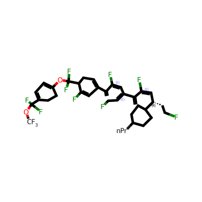 C=C(C1=CCC(C(F)(F)OC2=CC=C(C(F)(F)OC(F)(F)F)CC2)C(F)=C1)/C(F)=C\C(=C/CF)C(=C)/C(F)=C\[C@H](CCF)C1CCC(CCC)CC1